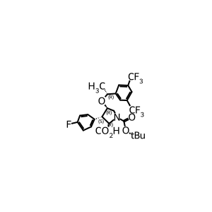 C[C@@H](O[C@H]1CN(C(=O)OC(C)(C)C)[C@@H](C(=O)O)[C@@H]1c1ccc(F)cc1)c1cc(C(F)(F)F)cc(C(F)(F)F)c1